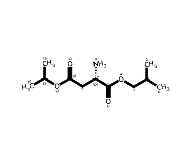 CC(C)COC(=O)[C@@H](N)CC(=O)OC(C)C